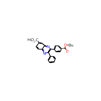 CC(C)(C)OC(=O)c1ccc(-c2nc3cc(C(=O)O)ccc3nc2-c2ccccc2)cc1